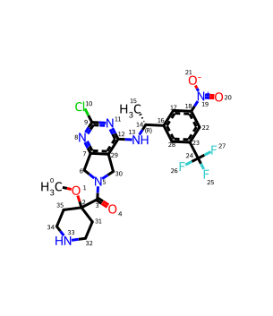 COC1(C(=O)N2Cc3nc(Cl)nc(N[C@H](C)c4cc([N+](=O)[O-])cc(C(F)(F)F)c4)c3C2)CCNCC1